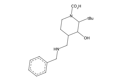 CC(C)(C)C1C(O)C(CNCc2ccccc2)CCN1C(=O)O